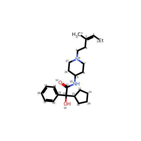 CC/C=C(/C)CCN1CCC(NC(=O)C(O)(c2ccccc2)C2CCCC2)CC1